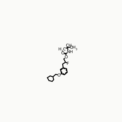 CC(C)(C)NC(=O)OCC(F)Cc1cccc(OCC2CCCCC2)c1